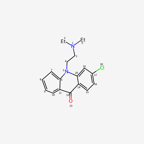 CCN(CC)CCn1c2ccccc2c(=O)c2ccc(Cl)cc21